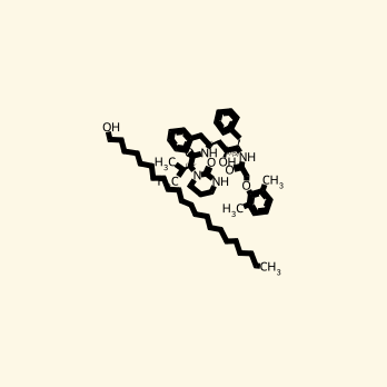 CCCCCCCCCCCCCCCCCCCCCCO.Cc1cccc(C)c1OCC(=O)N[C@@H](Cc1ccccc1)[C@@H](O)C[C@H](Cc1ccccc1)NC(=O)[C@H](C(C)C)N1CCCNC1=O